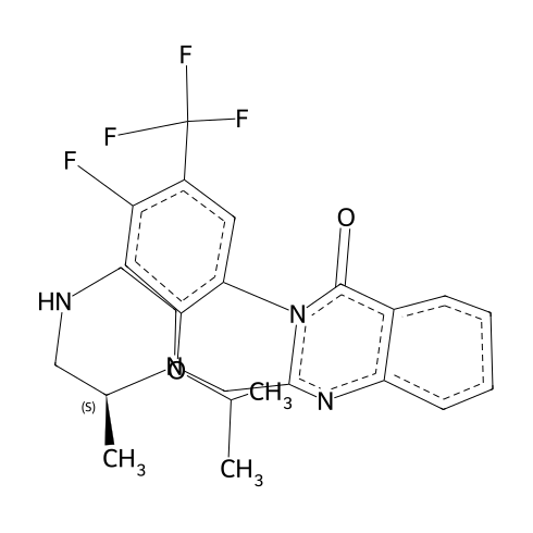 CC(C)Oc1cc(F)c(C(F)(F)F)cc1-n1c(CN2CCNC[C@@H]2C)nc2ccccc2c1=O